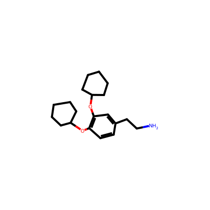 NCCc1ccc(OC2CCCCC2)c(OC2CCCCC2)c1